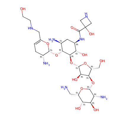 NC[C@@H]1O[C@H](O[C@H]2[C@@H](O)[C@H](O[C@@H]3[C@@H](O)[C@H](NC(=O)C4(O)CNC4)C[C@H](N)[C@H]3O[C@H]3OC(CNCCO)=CC[C@H]3N)O[C@@H]2CO)[C@H](N)[C@@H](O)[C@@H]1O